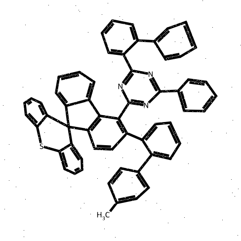 Cc1ccc(-c2ccccc2-c2ccc3c(c2-c2nc(-c4ccccc4)nc(-c4ccccc4-c4ccccc4)n2)-c2ccccc2C32c3ccccc3Sc3ccccc32)cc1